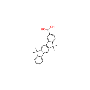 CC1(C)c2ccccc2-c2cc3c(cc21)-c1cc(B(O)O)ccc1C3(C)C